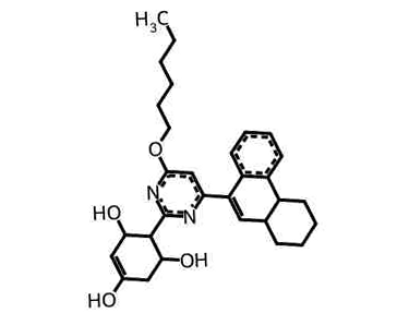 CCCCCCOc1cc(C2=CC3CCCCC3c3ccccc32)nc(C2C(O)C=C(O)CC2O)n1